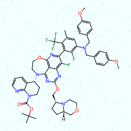 COc1ccc(CN(Cc2ccc(OC)cc2)c2cc(C)c(C(F)(F)F)c(-c3nc4c5c(nc(OC[C@@H]6CC[C@H]7COCCN76)nc5c3F)N([C@@H]3CCN(C(=O)OC(C)(C)C)c5ncccc53)CCO4)c2F)cc1